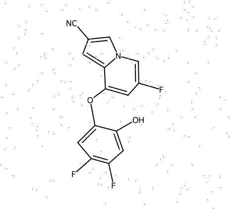 N#Cc1cc2c(Oc3cc(F)c(F)cc3O)cc(F)cn2c1